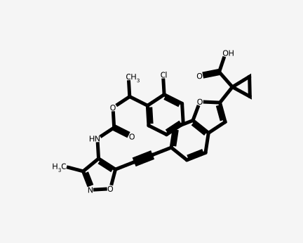 Cc1noc(C#Cc2ccc3cc(C4(C(=O)O)CC4)oc3c2)c1NC(=O)OC(C)c1ccccc1Cl